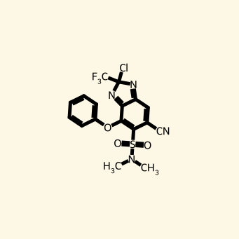 CN(C)S(=O)(=O)c1c(C#N)cc2c(c1Oc1ccccc1)=NC(Cl)(C(F)(F)F)N=2